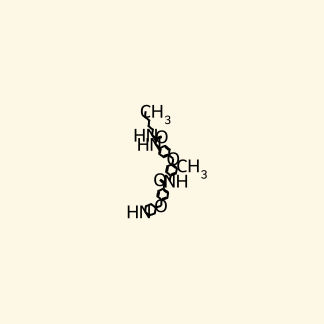 CCCCCNC(=O)Nc1ccc(Oc2ccc(NC(=O)c3ccc(OC4CCNCC4)cc3)cc2C)cc1